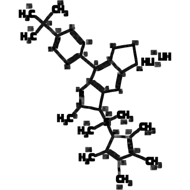 CC1=Cc2c(cc3c(c2-c2ccc(C(C)(C)C)cc2)CCC3)C1[Si](C)(C)C1C(C)=C(C)C(C)=C1C.[LiH].[LiH]